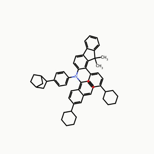 CC1(C)c2ccccc2-c2ccc(N(c3ccc(C4CC5CCC4C5)cc3)c3cccc4cc(C5CCCCC5)ccc34)c(-c3ccc(C4CCCCC4)cc3)c21